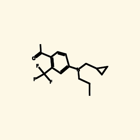 CCCN(CC1CC1)c1ccc(C(C)=O)c(C(F)(F)F)c1